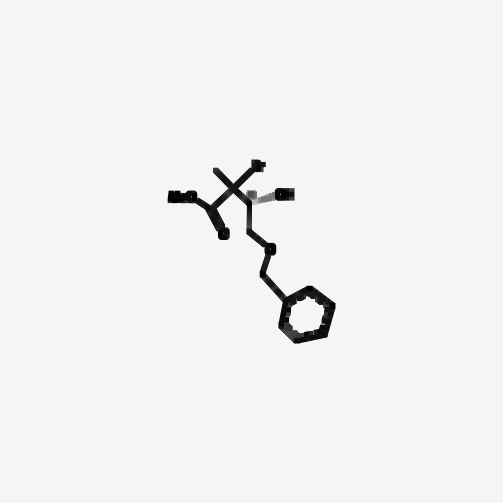 COC(=O)C(C)(Br)[C@H](O)COCc1ccccc1